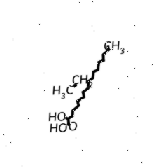 C=CC.CCCCCCCCCCCCCCCCC(O)C(=O)O